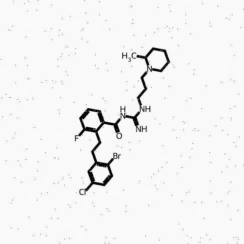 CC1CCCCN1CCCNC(=N)NC(=O)c1cccc(F)c1CCc1cc(Cl)ccc1Br